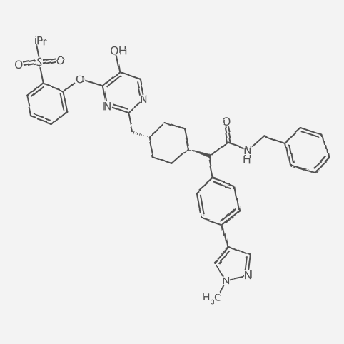 CC(C)S(=O)(=O)c1ccccc1Oc1nc(C[C@H]2CC[C@H](C(C(=O)NCc3ccccc3)c3ccc(-c4cnn(C)c4)cc3)CC2)ncc1O